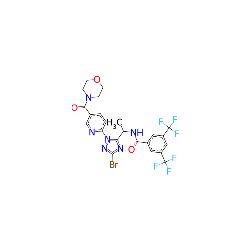 CC(NC(=O)c1cc(C(F)(F)F)cc(C(F)(F)F)c1)c1nc(Br)nn1-c1ccc(C(=O)N2CCOCC2)cn1